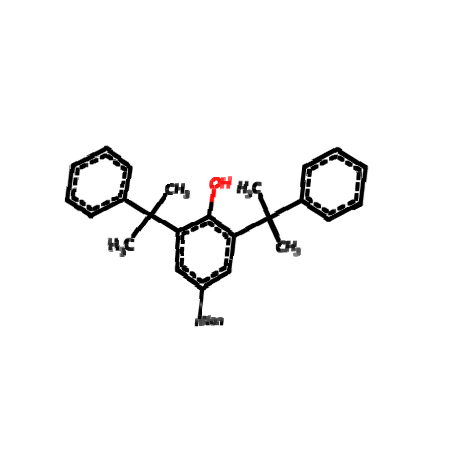 CCCCCCCCCc1cc(C(C)(C)c2ccccc2)c(O)c(C(C)(C)c2ccccc2)c1